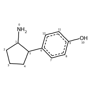 NC1CCCC1c1ccc(O)cc1